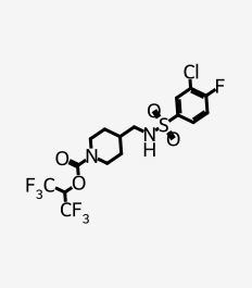 O=C(OC(C(F)(F)F)C(F)(F)F)N1CCC(CNS(=O)(=O)c2ccc(F)c(Cl)c2)CC1